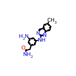 Cc1ccc2nc(Nc3cc(N)cc(CC(N)=O)c3)ncc2c1